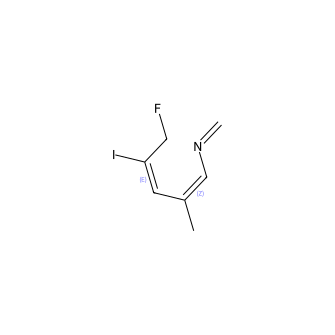 C=N/C=C(C)\C=C(\I)CF